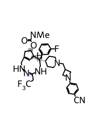 CNC(=O)O[C@H]1CC2=C[C@@H]1[C@](c1cccc(F)c1)(C1CCN(CC3CN(c4ccc(C#N)cc4)C3)CC1)CN/C(CC(F)(F)F)=N\NC2